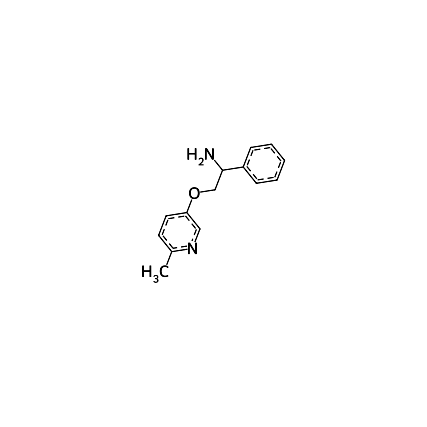 Cc1ccc(OCC(N)c2ccccc2)cn1